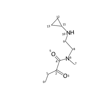 CCC(=O)C(=O)N(C)CCNC1CC1